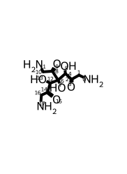 NCC(=O)C(O)C(O)(C(=O)CN)C(O)C(=O)CN